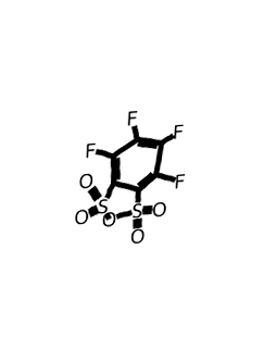 O=S1(=O)OS(=O)(=O)c2c(F)c(F)c(F)c(F)c21